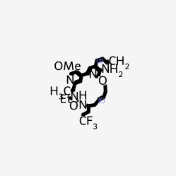 C=C/C=C\c1cc2nc(c1N)OCC/C=C/CC(CCC(F)(F)F)NC(=O)N(CC)C(C)c1cc-2c(OC)cn1